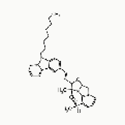 CCCCCCCCn1c2ccccc2c2cc(C=CC3OC4Cc5cccc(S(C)(=O)=O)c5N4C3(C)C)ccc21